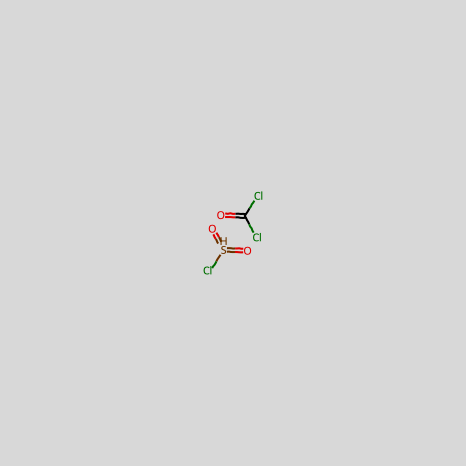 O=C(Cl)Cl.O=[SH](=O)Cl